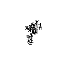 O=C(NC1CC1)c1c(O)n2ncc(C=CC(=O)N3CCOCC3)c2n(CC2CCC2)c1=O